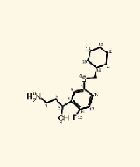 NCCC(O)c1cc(SCC2CCCCC2)ccc1F